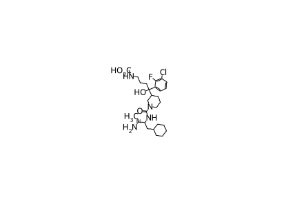 C[C@@H](N)C(CC1CCCCC1)NC(=O)N1CCCC(C(O)(CCCNC(=O)O)c2cccc(Cl)c2F)C1